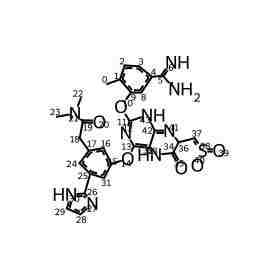 Cc1ccc(C(=N)N)cc1OC1=NC(Oc2cc(CC(=O)N(C)C)cc(-c3ncc[nH]3)c2)=C2NC(=O)C(C=S(=O)=O)N=C2N1